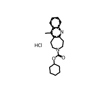 Cc1c2c(nc3ccccc13)CCN(C(=O)OC1CCCCC1)CC2.Cl